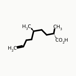 C=CCC[C@@H](C)CC[C@H](C)C(=O)O